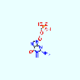 Nc1nc2c(ncn2OCOCP(=O)(O)O)c(=O)[nH]1